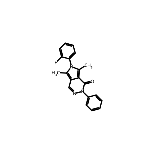 Cc1c2cnn(-c3ccccc3)c(=O)c2c(C)n1-c1ccccc1F